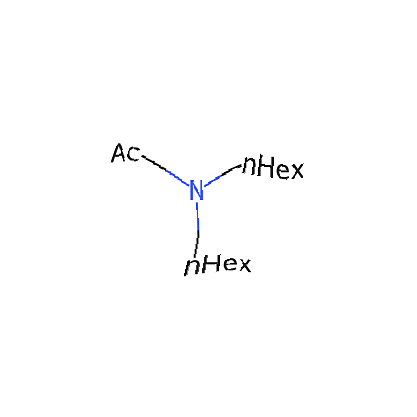 CCCCCCN(CCCCCC)C(C)=O